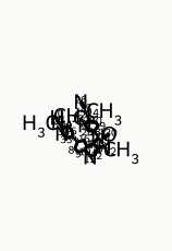 CN(C)c1ccc(-c2ccc3ncc4c(c3c2)n(-c2ccc(C(C)(C)C#N)nc2)c(=O)n4C)cn1